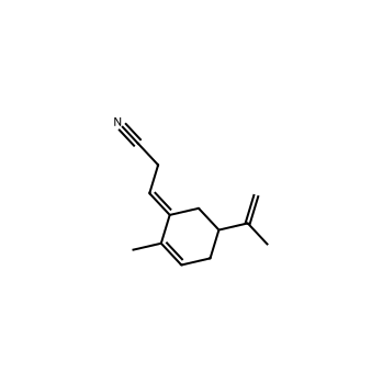 C=C(C)C1CC=C(C)C(=CCC#N)C1